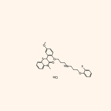 COc1ccc(OCCCNCCCOc2ccccc2F)c(C2Sc3ccccc3N(C)C2=O)c1.Cl